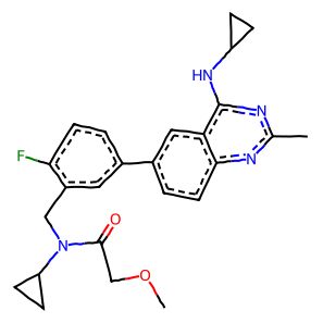 COCC(=O)N(Cc1cc(-c2ccc3nc(C)nc(NC4CC4)c3c2)ccc1F)C1CC1